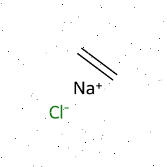 C=C.[Cl-].[Na+]